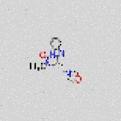 CN1CC(CCN2CCOCC2)c2nc3ccccc3n2C1=O